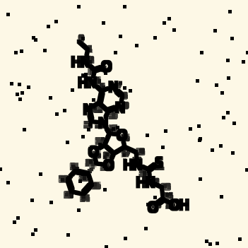 CCNC(=O)Nc1ncnc2c1ncn2C1OC(CNC(=S)NCC(=O)O)C2O[C@H](c3ccccc3)OC21